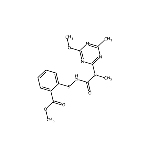 COC(=O)c1ccccc1SNC(=O)N(C)c1nc(C)nc(OC)n1